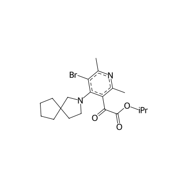 Cc1nc(C)c(C(=O)C(=O)OC(C)C)c(N2CCC3(CCCC3)C2)c1Br